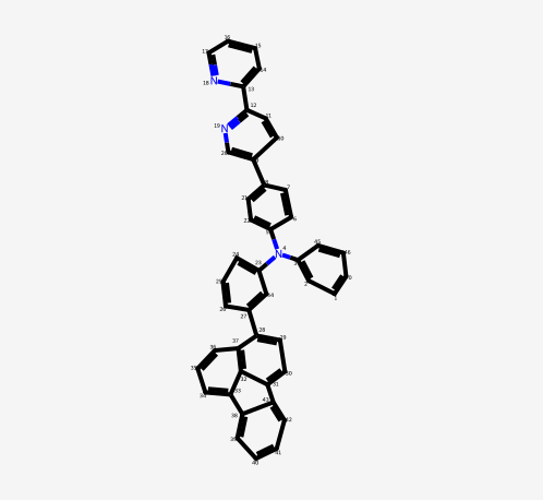 c1ccc(N(c2ccc(-c3ccc(-c4ccccn4)nc3)cc2)c2cccc(-c3ccc4c5c(cccc35)-c3ccccc3-4)c2)cc1